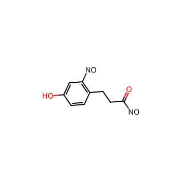 O=NC(=O)CCc1ccc(O)cc1N=O